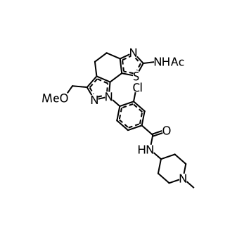 COCc1nn(-c2ccc(C(=O)NC3CCN(C)CC3)cc2Cl)c2c1CCc1nc(NC(C)=O)sc1-2